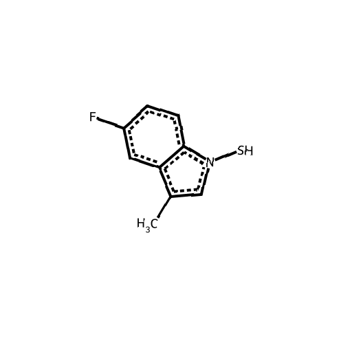 Cc1cn(S)c2ccc(F)cc12